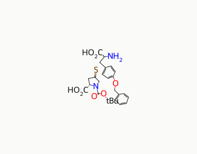 CC(C)(C)OC(=O)N1CC(=S)C[C@H]1C(=O)O.N[C@@H](Cc1ccc(OCc2ccccc2)cc1)C(=O)O